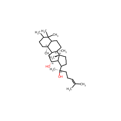 CC(C)=CCC[C@@](C)(O)C1CC[C@]2(C)C1[C@H](O)CC1[C@@]3(C)CCC(C)C(C)(C)C3CC[C@]12C